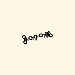 c1ccc2c(c1)ccc1cc(-c3ccc(-c4ccc(-c5ccc(-n6c7ccccc7c7ccccc76)cc5)nc4)cc3)nn12